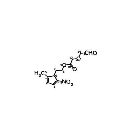 CC1=CC=C([N+](=O)[O-])C1CCOC(=O)COCC=O